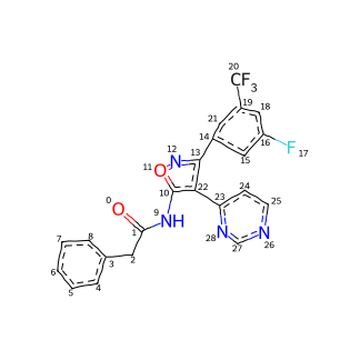 O=C(Cc1ccccc1)Nc1onc(-c2cc(F)cc(C(F)(F)F)c2)c1-c1ccncn1